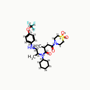 CC(CC(=O)N1CCS(=O)(=O)CC1)C(=O)N(C(C)CNc1ccc(OC(F)(F)F)cc1)C1CCCCC1